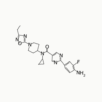 CCc1noc(N2CCC(N(C(=O)c3cnc(-c4ccc(N)c(F)c4)nc3)C3CC3)CC2)n1